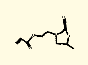 C=CC(=O)OCCN1CC(C)OC1=O